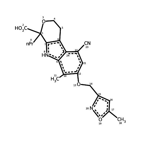 CCCC1(C(=O)O)OCCc2c1[nH]c1c(C)c(OCc3cc(C)on3)cc(C#N)c21